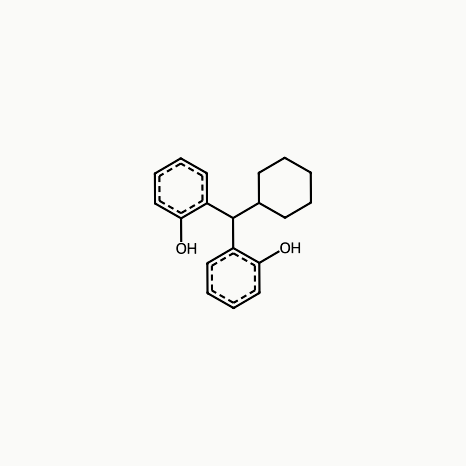 Oc1ccccc1C(c1ccccc1O)C1CCCCC1